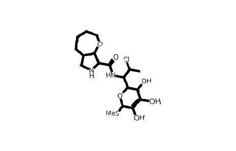 CSC1OC(C(NC(=O)C2NCC3CCCCOC32)C(C)Cl)C(O)C(O)=C1O